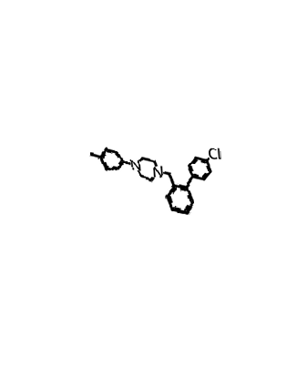 Cc1ccc(N2CCN(Cc3ccccc3-c3ccc(Cl)cc3)CC2)cc1